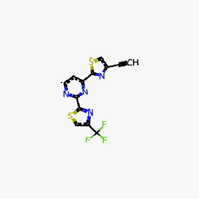 C#Cc1csc(-c2c[c]nc(-c3nc(C(F)(F)F)cs3)n2)n1